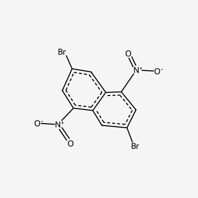 O=[N+]([O-])c1cc(Br)cc2c([N+](=O)[O-])cc(Br)cc12